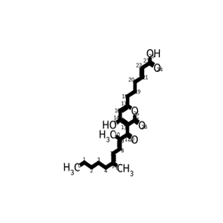 CCCCC/C(C)=C/C=C(\C)C(=O)c1c(O)cc(CCC/C=C/C(=O)O)oc1=O